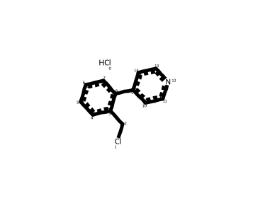 Cl.ClCc1ccccc1-c1ccncc1